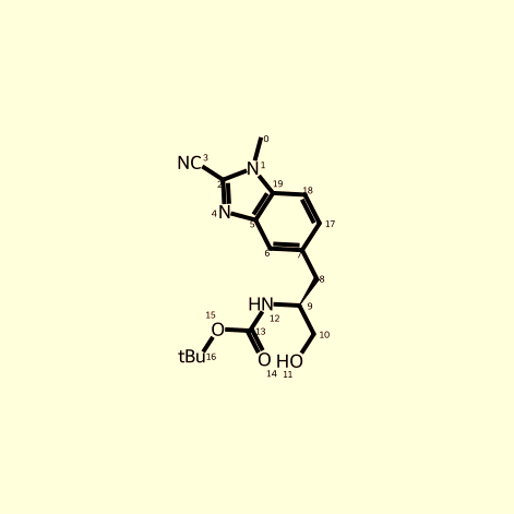 Cn1c(C#N)nc2cc(C[C@@H](CO)NC(=O)OC(C)(C)C)ccc21